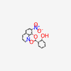 O=C(Oc1c([N+](=O)[O-])ccc2cccnc12)c1ccccc1O